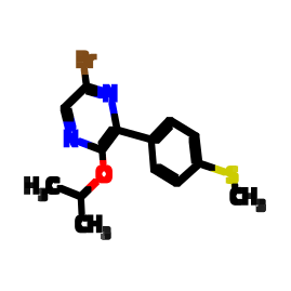 CSc1ccc(-c2nc(Br)cnc2OC(C)C)cc1